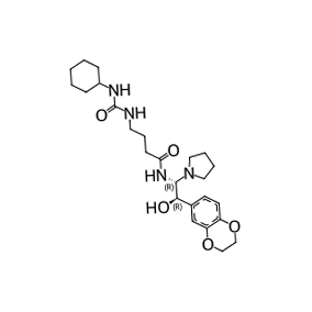 O=C(CCCNC(=O)NC1CCCCC1)N[C@@H]([C@H](O)c1ccc2c(c1)OCCO2)N1CCCC1